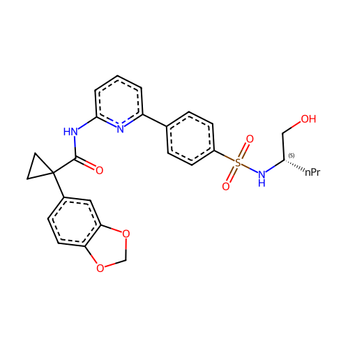 CCC[C@@H](CO)NS(=O)(=O)c1ccc(-c2cccc(NC(=O)C3(c4ccc5c(c4)OCO5)CC3)n2)cc1